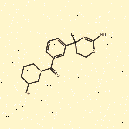 CC1(c2cccc(C(=O)N3CCCC(O)C3)c2)CCSC(N)=N1